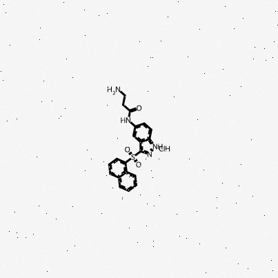 Cl.NCCC(=O)Nc1ccc2[nH]nc(S(=O)(=O)c3cccc4ccccc34)c2c1